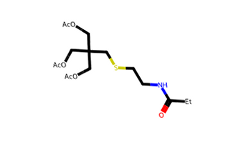 CCC(=O)NCCSCC(COC(C)=O)(COC(C)=O)COC(C)=O